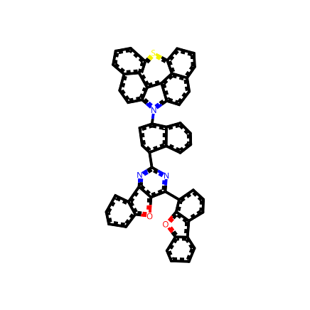 c1ccc2c(c1)oc1c(-c3nc(-c4ccc(-n5c6ccc7cccc8sc9cccc%10ccc5c(c%109)c6c78)c5ccccc45)nc4c3oc3ccccc34)cccc12